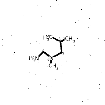 CC(C)CN(C)CN